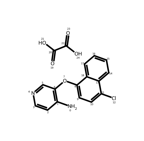 Nc1ccncc1Oc1ccc(Cl)c2ccccc12.O=C(O)C(=O)O